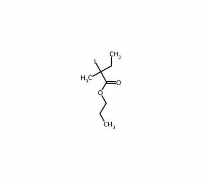 CCCOC(=O)C(C)(I)CC